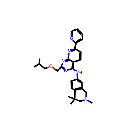 CC(C)COCc1nc(Nc2ccc3c(c2)CN(C)CC3(C)C)c2ccc(-c3ccccn3)nc2n1